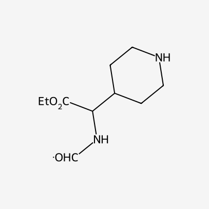 CCOC(=O)C(N[C]=O)C1CCNCC1